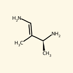 C/C(=C\N)[C@H](C)N